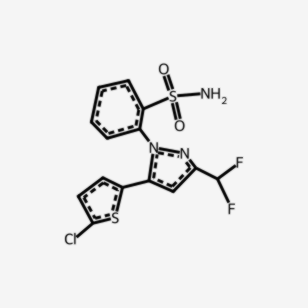 NS(=O)(=O)c1ccccc1-n1nc(C(F)F)cc1-c1ccc(Cl)s1